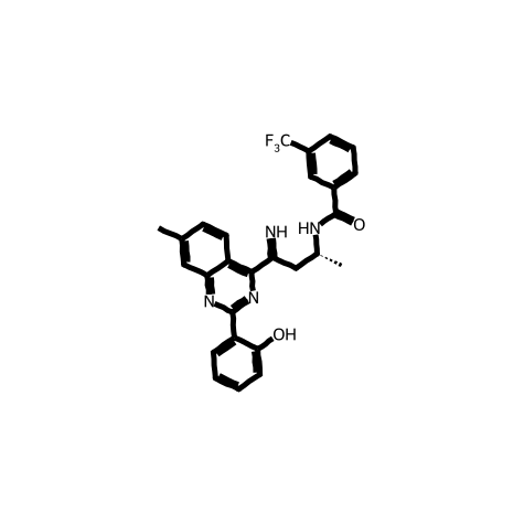 Cc1ccc2c(C(=N)C[C@@H](C)NC(=O)c3cccc(C(F)(F)F)c3)nc(-c3ccccc3O)nc2c1